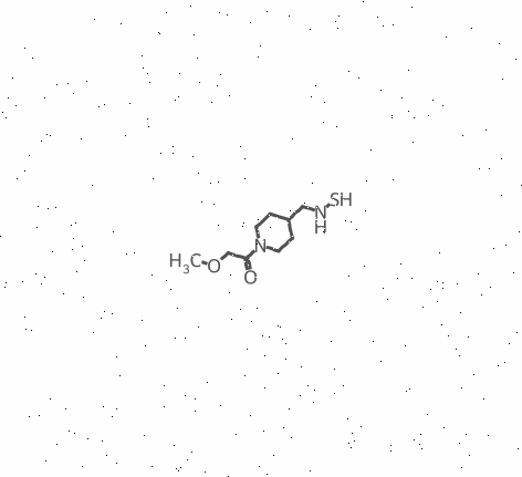 COCC(=O)N1CCC(CNS)CC1